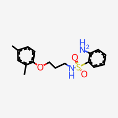 Cc1ccc(OCCCNS(=O)(=O)c2ccccc2N)c(C)c1